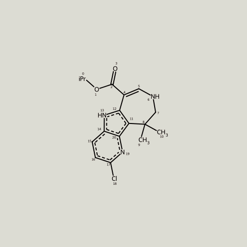 CC(C)OC(=O)C1=CNCC(C)(C)c2c1[nH]c1ccc(Cl)nc21